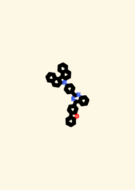 c1ccc2c(c1)ccc1c2c2c3ccccc3ccc2n1-c1ccc(-c2nc(-c3ccc4c(c3)oc3ccccc34)c3ccccc3n2)cc1